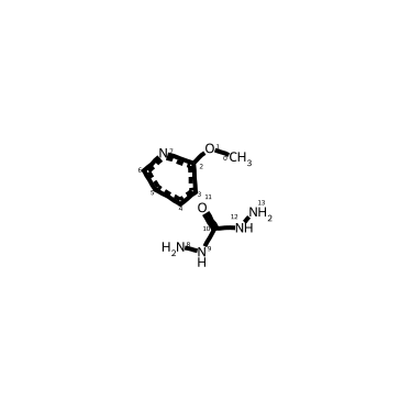 COc1ccccn1.NNC(=O)NN